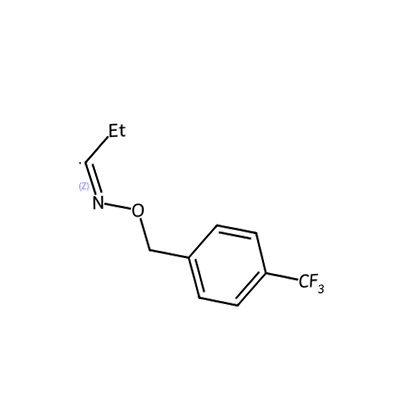 CC/[C]=N\OCc1ccc(C(F)(F)F)cc1